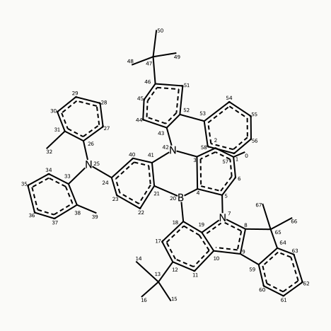 Cc1cc2c3c(c1)-n1c4c(c5cc(C(C)(C)C)cc(c51)B3c1ccc(N(c3ccccc3C)c3ccccc3C)cc1N2c1ccc(C(C)(C)C)cc1-c1ccccc1)-c1ccccc1C4(C)C